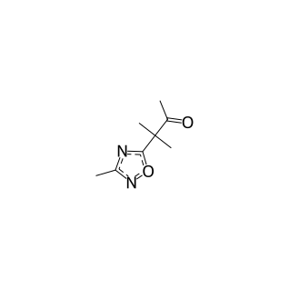 CC(=O)C(C)(C)c1nc(C)no1